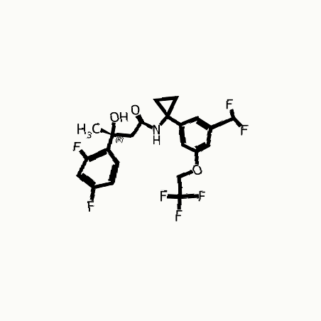 C[C@@](O)(CC(=O)NC1(c2cc(OCC(F)(F)F)cc(C(F)F)c2)CC1)c1ccc(F)cc1F